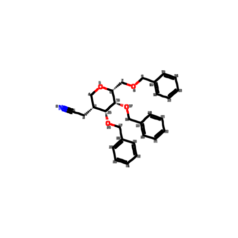 N#CC[C@@H]1CO[C@H](COCc2ccccc2)[C@H](OCc2ccccc2)[C@@H]1OCc1ccccc1